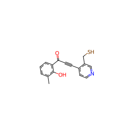 Cc1cccc(C(=O)C#Cc2ccncc2CS)c1O